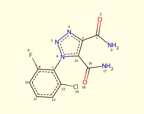 NC(=O)c1nnn(-c2c(F)cccc2Cl)c1C(N)=O